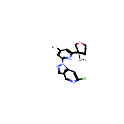 CO[C@]1(c2cc(C)cc(-n3ncc4cnc(Cl)cc43)n2)CCOC1